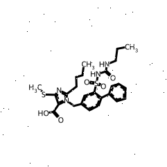 CCCCc1nc(SC)c(C(=O)O)n1Cc1ccc(-c2ccccc2)c(S(=O)(=O)NC(=O)NCCC)c1